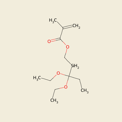 C=C(C)C(=O)OC[SiH2]C(CC)(OCC)OCC